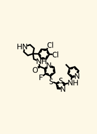 Cc1ccnc(Nc2ncc(Sc3ccnc(C(=O)NCC4(c5ccc(Cl)c(Cl)c5)CCNCC4)c3F)s2)c1